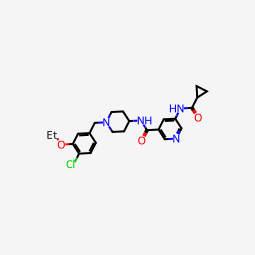 CCOc1cc(CN2CCC(NC(=O)c3cncc(NC(=O)C4CC4)c3)CC2)ccc1Cl